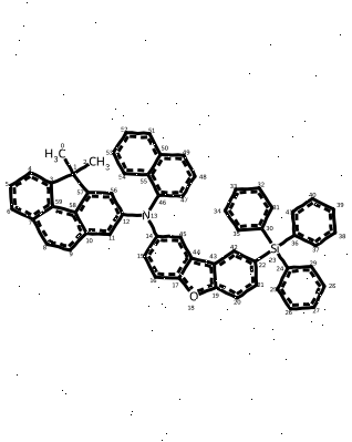 CC1(C)c2cccc3ccc4cc(N(c5ccc6oc7ccc([Si](c8ccccc8)(c8ccccc8)c8ccccc8)cc7c6c5)c5cccc6ccccc56)cc1c4c23